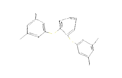 Cc1cc(C)cc(Sc2ccccc2Sc2cc(C)cc(C)c2)c1